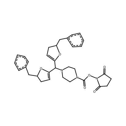 O=C(ON1C(=O)CCC1=O)N1CCN(C(C2=CCC(Cc3ccccc3)O2)C2=CCC(Cc3ccccc3)O2)CC1